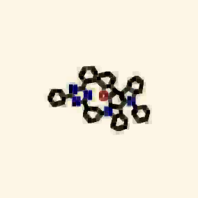 c1ccc(-c2nc(-c3ccccc3)nc(-c3cccc(-n4c5ccccc5c5c4c4oc6ccccc6c4c4c6ccccc6n(-c6ccccc6)c45)c3)n2)cc1